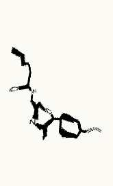 C=CCCC(=O)NCc1nc(C)c(-c2ccc(SC)cc2)o1